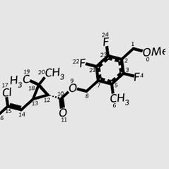 COCc1c(F)c(C)c(COC(=O)[C@@H]2C(C=C(Cl)Cl)C2(C)C)c(F)c1F